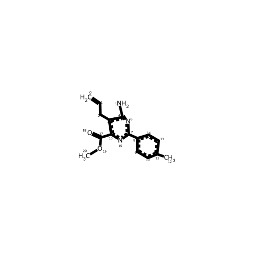 C=CCc1c(N)nc(-c2ccc(C)cc2)nc1C(=O)OC